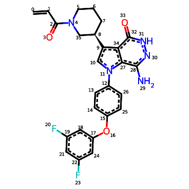 C=CC(=O)N1CCC[C@@H](c2cn(-c3ccc(Oc4cc(F)cc(F)c4)cc3)c3c(N)n[nH]c(=O)c23)C1